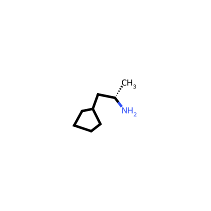 C[C@H](N)CC1CCCC1